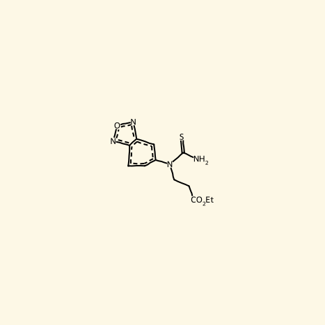 CCOC(=O)CCN(C(N)=S)c1ccc2nonc2c1